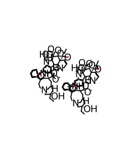 CC[C@]1(O)C[C@@H]2C[N@@](CCc3c([nH]c4ccccc34)[C@@](C(=O)OC)(c3cc4c(cc3OC)N(C)[C@H]3[C@@](O)(C(=O)OC)[C@H](OC(C)=O)[C@]5(CC)C=CCN6CC[C@]43[C@@H]65)C2)C1.CC[C@]1(O)C[C@H]2C[N@](CCc3c([nH]c4ccccc34)[C@@](C(=O)OC)(c3cc4c(cc3OC)N(C=O)[C@H]3[C@@](O)(C(=O)OC)[C@H](OC(C)=O)[C@]5(CC)C=CCN6CC[C@]43[C@@H]65)C2)C1